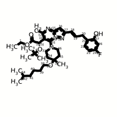 CCOC(=O)[C@@H](OC(C)(C)C)c1c(C)nc2cc(C=CCc3ccc(F)cc3O)nn2c1N1CCC(C)(OCCCCC(C)C)CC1